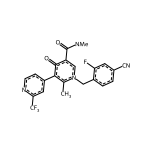 CNC(=O)c1cn(Cc2ccc(C#N)cc2F)c(C)c(-c2ccnc(C(F)(F)F)c2)c1=O